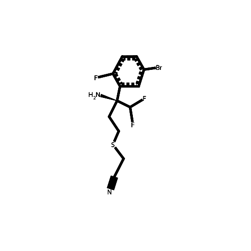 N#CCSCC[C@](N)(c1cc(Br)ccc1F)C(F)F